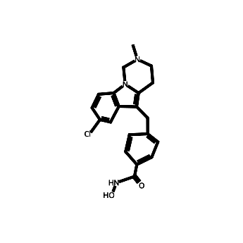 CN1CCc2c(Cc3ccc(C(=O)NO)cc3)c3cc(Cl)ccc3n2C1